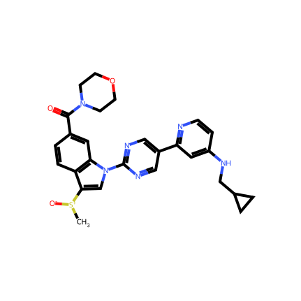 C[S+]([O-])c1cn(-c2ncc(-c3cc(NCC4CC4)ccn3)cn2)c2cc(C(=O)N3CCOCC3)ccc12